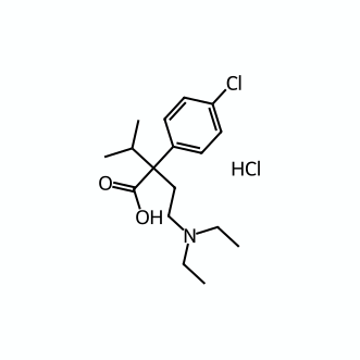 CCN(CC)CCC(C(=O)O)(c1ccc(Cl)cc1)C(C)C.Cl